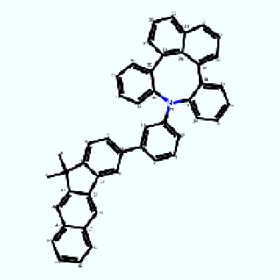 CC1(C)c2ccc(-c3cccc(N4c5ccccc5-c5cccc6cccc(c56)-c5ccccc54)c3)cc2-c2cc3ccccc3cc21